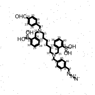 [N-]=[N+]=NCc1ccc(CN(CCCCCCN(Cc2ccc(C=O)cc2)Cc2ccccc2B(O)O)Cc2ccccc2B(O)O)cc1